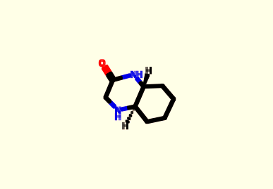 O=C1CN[C@@H]2CCCC[C@H]2N1